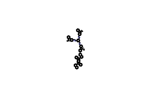 CCn1c2ccccc2c2cc(/C=C/c3cc(/C=C/c4ccc5c(c4)c4ccccc4n5CC)cc(/C=C/c4ccc5c(c4)c4ccc([C@H]6C=Cc7c(cccc7-n7c8ccccc8c8cc9c(cc87)c7ccccc7n9-c7cccc8ccccc78)C6)cc4n5CC)c3)ccc21